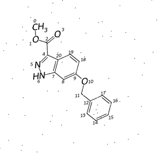 COC(=O)c1n[nH]c2cc(OCc3ccccc3)ccc12